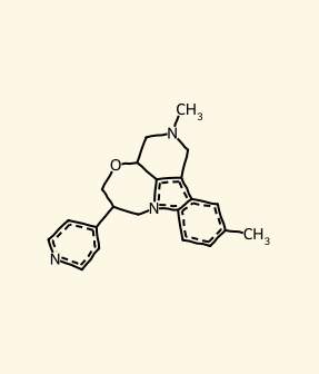 Cc1ccc2c(c1)c1c3n2CC(c2ccncc2)COC3CN(C)C1